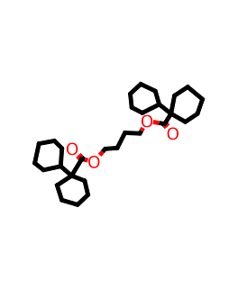 O=C(OCCCCOC(=O)C1(C2CCCCC2)CCCCC1)C1(C2CCCCC2)CCCCC1